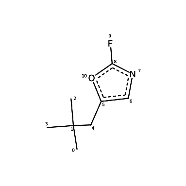 CC(C)(C)Cc1cnc(F)o1